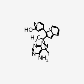 CC(c1cc2ccccn2c1-c1ccnc(O)c1)n1nc(I)c2c(N)ncnc21